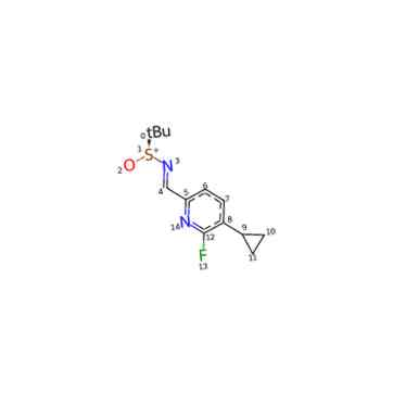 CC(C)(C)[S@+]([O-])/N=C/c1ccc(C2CC2)c(F)n1